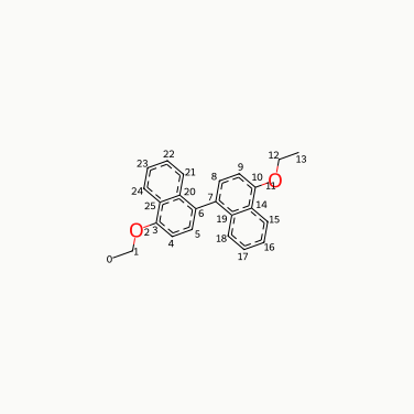 CCOc1ccc(-c2ccc(OCC)c3ccccc23)c2ccccc12